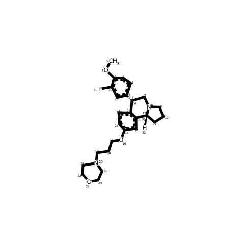 COc1ccc([C@@H]2CN3CCC[C@@H]3c3cc(OCCCN4CCOCC4)ccc32)cc1F